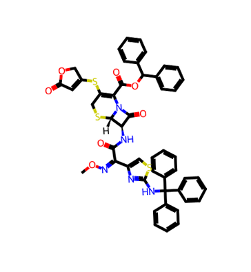 CO/N=C(\C(=O)N[C@@H]1C(=O)N2C(C(=O)OC(c3ccccc3)c3ccccc3)=C(SC3=CC(=O)OC3)CS[C@@H]12)c1csc(NC(c2ccccc2)(c2ccccc2)c2ccccc2)n1